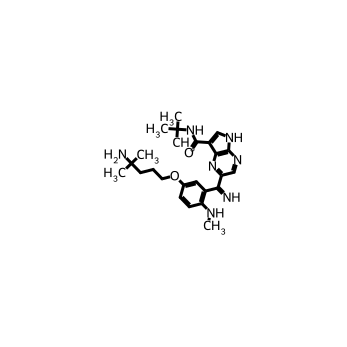 CNc1ccc(OCCCC(C)(C)N)cc1C(=N)c1cnc2[nH]cc(C(=O)NC(C)(C)C)c2n1